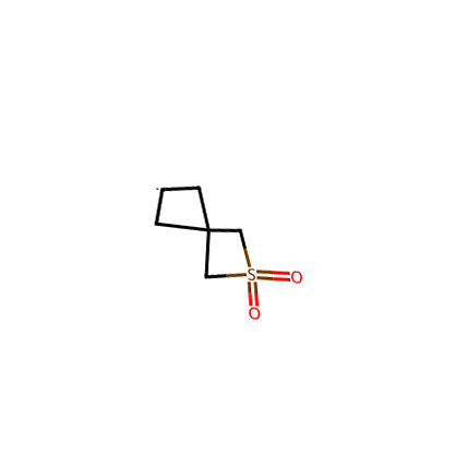 O=S1(=O)CC2(C[CH]C2)C1